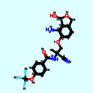 CC(C#N)(COc1ccc2c(c1N)B(O)OC2)NC(=O)c1ccc(OC(F)(F)F)cc1